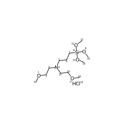 COCCN(CCC[Si](OC)(OC)OC)CCOC.Cl